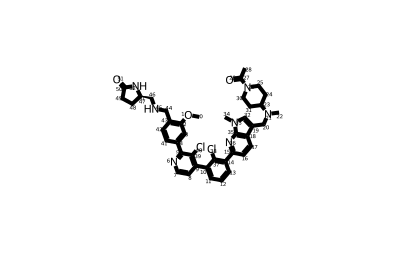 COc1cc(-c2nccc(-c3cccc(-c4ccc5c(CN(C)C6CCN(C(C)=O)CC6)cn(C)c5n4)c3Cl)c2Cl)ccc1CNC[C@H]1CCC(=O)N1